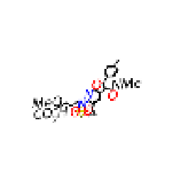 CNC(=O)c1c(-c2ccc(C)cc2)oc2nc(N(CCCC(C)(OC)C(=O)O)S(C)(=O)=O)c(C3CC3)cc12